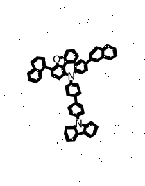 c1ccc2cc(-c3ccc(N(c4ccc(-c5ccc(-n6c7ccccc7c7ccccc76)cc5)cc4)c4ccc(-c5cccc6ccccc56)c5oc6ccccc6c45)cc3)ccc2c1